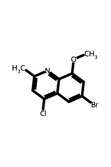 COc1cc(Br)cc2c(Cl)cc(C)nc12